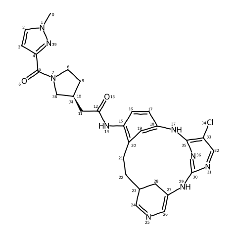 Cn1ccc(C(=O)N2CC[C@@H](CC(=O)Nc3ccc4cc3CCC3C=NC=C(C3)Nc3ncc(Cl)c(n3)N4)C2)n1